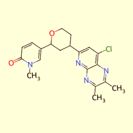 Cc1nc2nc(C3CCOC(c4ccc(=O)n(C)c4)C3)cc(Cl)c2nc1C